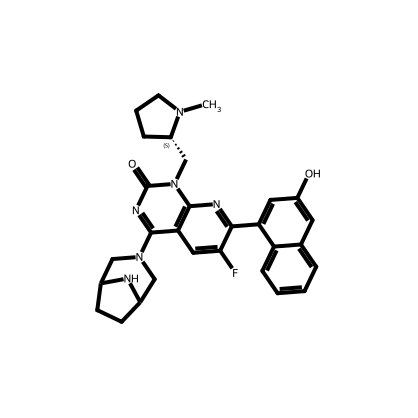 CN1CCC[C@H]1Cn1c(=O)nc(N2CC3CCC(C2)N3)c2cc(F)c(-c3cc(O)cc4ccccc34)nc21